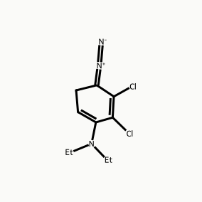 CCN(CC)C1=CCC(=[N+]=[N-])C(Cl)=C1Cl